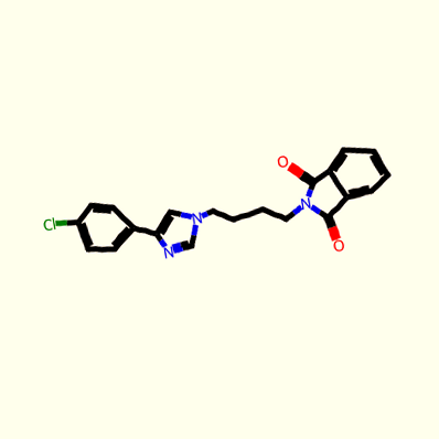 O=C1c2ccccc2C(=O)N1CCCCn1cnc(-c2ccc(Cl)cc2)c1